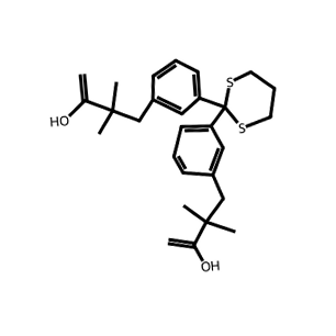 C=C(O)C(C)(C)Cc1cccc(C2(c3cccc(CC(C)(C)C(=C)O)c3)SCCCS2)c1